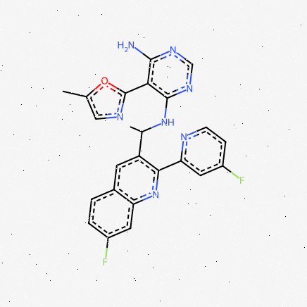 Cc1cnc(-c2c(N)ncnc2NC(C)c2cc3ccc(F)cc3nc2-c2cc(F)ccn2)o1